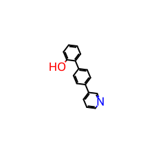 Oc1ccccc1-c1ccc(-c2cccnc2)cc1